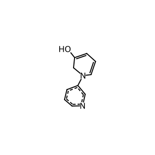 OC1=CC=CN(c2cccnc2)C1